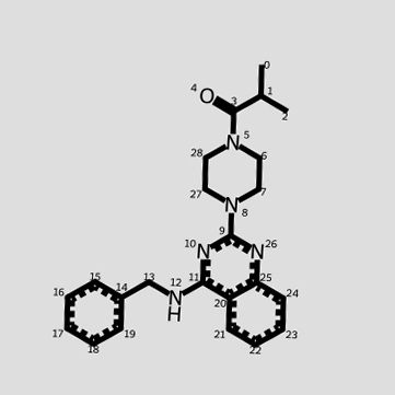 CC(C)C(=O)N1CCN(c2nc(NCc3ccccc3)c3ccccc3n2)CC1